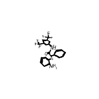 Nc1ccccc1SC(C(=O)Nc1cc(C(F)(F)F)cc(C(F)(F)F)c1)c1ccccc1